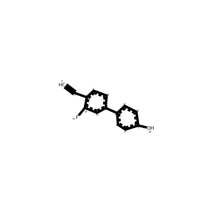 C#Cc1ccc(-c2ccc(O)cc2)cc1F